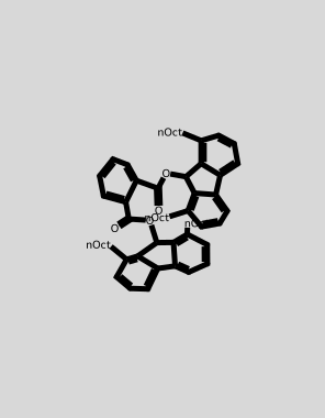 CCCCCCCCc1cccc2c1C(OC(=O)c1ccccc1C(=O)OC1c3c(CCCCCCCC)cccc3-c3cccc(CCCCCCCC)c31)c1c(CCCCCCCC)cccc1-2